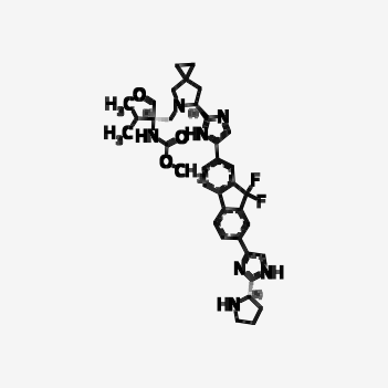 COC(=O)N[C@@](C=O)(CN1CC2(CC2)C[C@H]1c1ncc(-c2ccc3c(c2)C(F)(F)c2cc(-c4c[nH]c([C@@H]5CCCN5)n4)ccc2-3)[nH]1)C(C)C